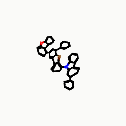 c1ccc(-c2ccc3c4ccccc4n(-c4cccc5c4sc4c(-c6ccccc6)cc(-c6cccc7oc8ccccc8c67)cc45)c3c2)cc1